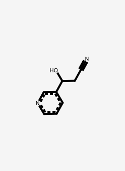 N#CCC(O)c1cccnc1